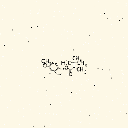 COc1ccc2c(c1)CCC2OC(=O)C(C)C(C)(C)C